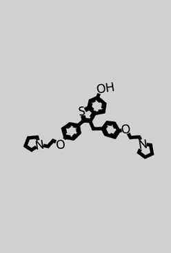 Oc1ccc2c(Cc3ccc(OCCN4CCCC4)cc3)c(-c3ccc(OCCN4CCCC4)cc3)sc2c1